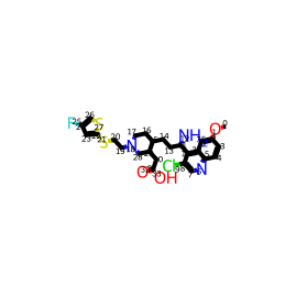 COc1ccc2ncc(Cl)c(C(N)CCC3CCN(CCSc4cc(F)cs4)CC3CC(=O)O)c2c1